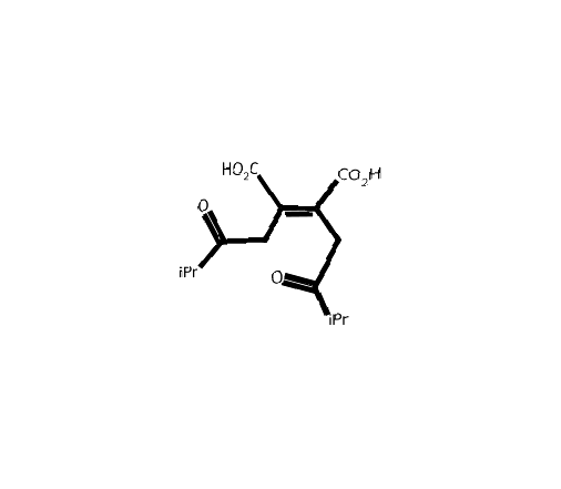 CC(C)C(=O)CC(C(=O)O)=C(CC(=O)C(C)C)C(=O)O